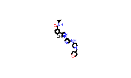 Cc1ccc(C(=O)NC2CC2)cc1-c1cnn(-c2cncc(NC3CCN(CC4CCOCC4)CC3)c2)c1